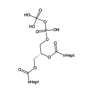 CCCCCCCC(=O)OC[C@H](COP(=O)(O)OP(=O)(O)O)OC(=O)CCCCCCC